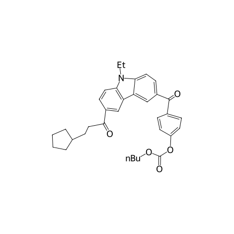 CCCCOC(=O)Oc1ccc(C(=O)c2ccc3c(c2)c2cc(C(=O)CCC4CCCC4)ccc2n3CC)cc1